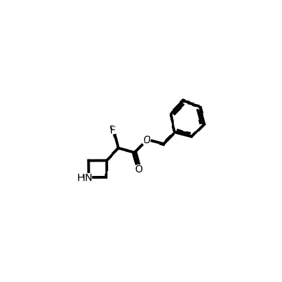 O=C(OCc1ccccc1)C(F)C1CNC1